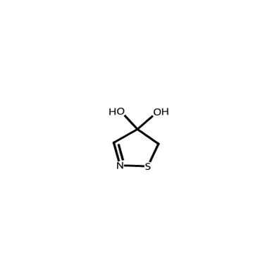 OC1(O)C=NSC1